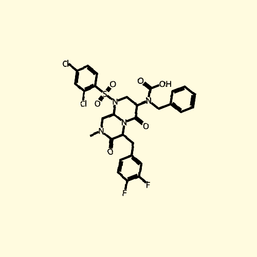 CN1CC2N(C(=O)C(N(Cc3ccccc3)C(=O)O)CN2S(=O)(=O)c2ccc(Cl)cc2Cl)C(Cc2ccc(F)c(F)c2)C1=O